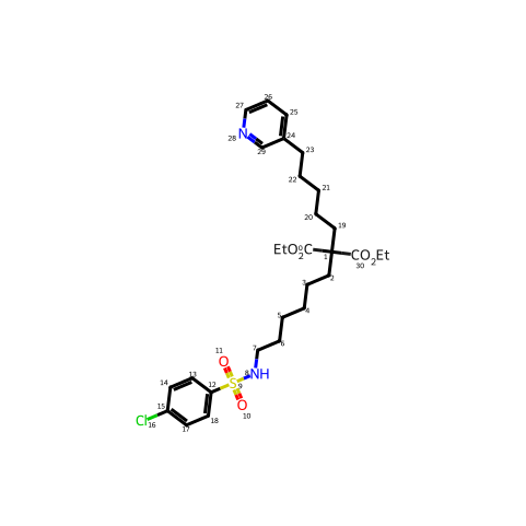 CCOC(=O)C(CCCCCCNS(=O)(=O)c1ccc(Cl)cc1)(CCCCCc1cccnc1)C(=O)OCC